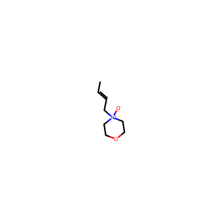 C/C=C/C[N+]1([O-])CCOCC1